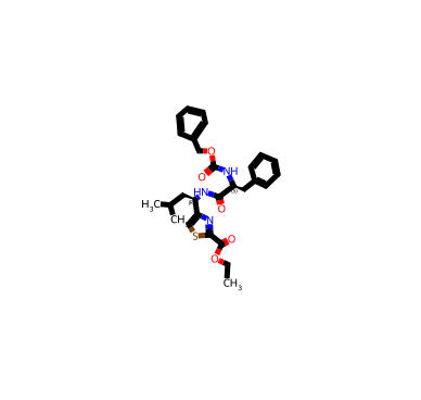 CCOC(=O)c1nc([C@@H](CC(C)C)NC(=O)[C@H](Cc2ccccc2)NC(=O)OCc2ccccc2)cs1